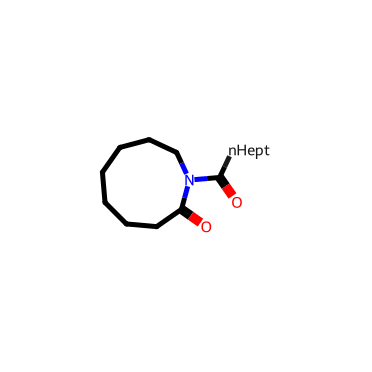 CCCCCCCC(=O)N1CCCCCCCC1=O